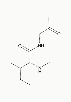 CCC(C)[C@@H](NC)C(=O)NCC(C)=O